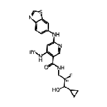 CC(C)Nc1cc(Nc2ccc3ncsc3c2)ncc1C(=O)NC[C@@H](F)C(O)C1CC1